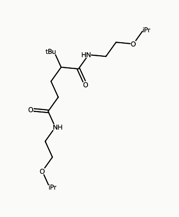 CC(C)OCCNC(=O)CCC(C(=O)NCCOC(C)C)C(C)(C)C